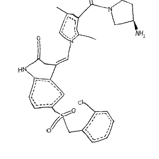 Cc1cn(/C=C2\C(=O)Nc3ccc(S(=O)(=O)Cc4ccccc4Cl)cc32)c(C)c1C(=O)N1CC[C@@H](N)C1